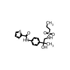 CCCS(=O)(=O)NCC(C)(O)c1ccc(NC(=O)c2[c]ccs2)cc1